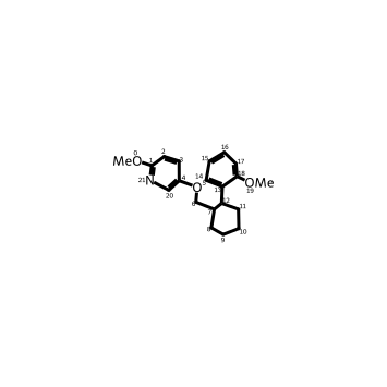 COc1ccc(OCC2CCCCC2c2ccccc2OC)cn1